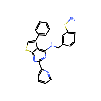 NSc1cccc(CNc2nc(-c3ccccn3)nc3scc(-c4ccccc4)c23)c1